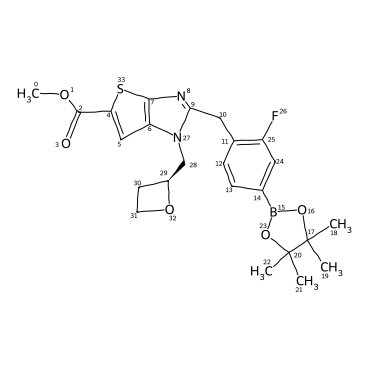 COC(=O)c1cc2c(nc(Cc3ccc(B4OC(C)(C)C(C)(C)O4)cc3F)n2C[C@@H]2CCO2)s1